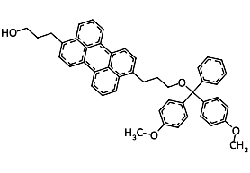 COc1ccc(C(OCCCc2ccc3c4cccc5c(CCCO)ccc(c6cccc2c63)c54)(c2ccccc2)c2ccc(OC)cc2)cc1